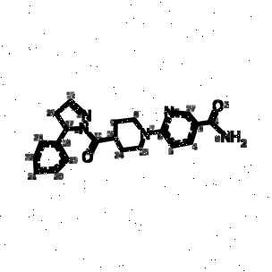 NC(=O)c1ccc(N2CCC(C(=O)N3N=CCC3c3ccccc3)CC2)nc1